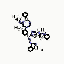 C=C1/C(c2cccc(N(/C=C/C=C(\C=C/C)c3ccccc3)C(/C=C\C(=C)/C(C)=C/C=C3/C=CC=CC3)=C/C)c2)=C\C=C/CN(c2ccccc2)/C(C)=C1/C=C\CC